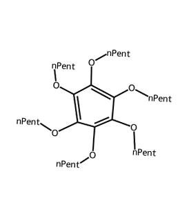 CCCCCOc1c(OCCCCC)c(OCCCCC)c(OCCCCC)c(OCCCCC)c1OCCCCC